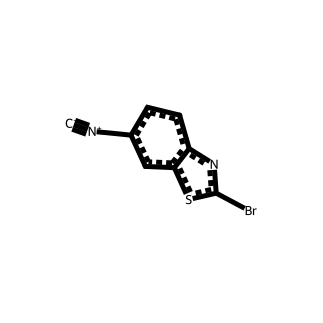 [C-]#[N+]c1ccc2nc(Br)sc2c1